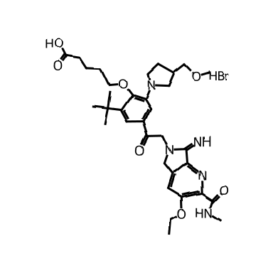 Br.CCOc1cc2c(nc1C(=O)NC)C(=N)N(CC(=O)c1cc(N3CCC(COC)C3)c(OCCCCC(=O)O)c(C(C)(C)C)c1)C2